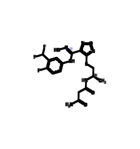 C[C@H](CSc1nonc1/C(=N/O)Nc1ccc(F)c(C(F)F)c1)NC(=O)CC(N)=O